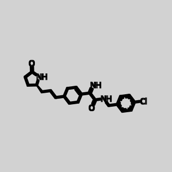 N=C(C(=O)NCc1ccc(Cl)cc1)C1=CCC(CCC[C@H]2CCC(=O)N2)CC1